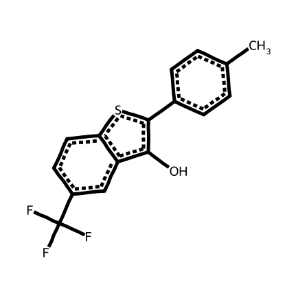 Cc1ccc(-c2sc3ccc(C(F)(F)F)cc3c2O)cc1